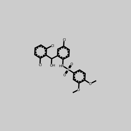 COc1ccc(S(=O)(=O)Nc2ccc(Cl)cc2C(O)c2c(Cl)cccc2Cl)cc1OC